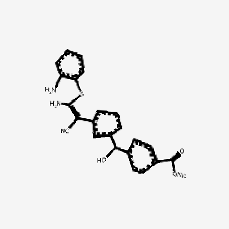 COC(=O)c1ccc(C(O)c2cccc(/C(C#N)=C(/N)Sc3ccccc3N)c2)cc1